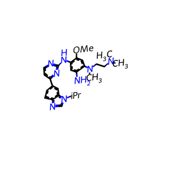 COc1cc(N(C)CCN(C)C)c(N)cc1Nc1nccc(-c2ccc3ncn(C(C)C)c3c2)n1